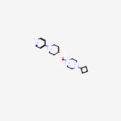 O=C(OC1CCN(c2ccncc2)CC1)N1CCN(C2CCC2)CC1